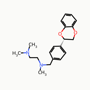 CN(C)CCN(C)Cc1ccc([C@H]2COc3ccccc3O2)cc1